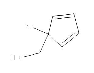 CC[C]1([Ru])C=CC=C1